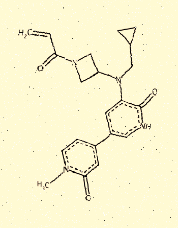 C=CC(=O)N1CC(N(CC2CC2)c2cc(-c3ccn(C)c(=O)c3)c[nH]c2=O)C1